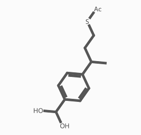 CC(=O)SCCC(C)c1ccc(C(O)O)cc1